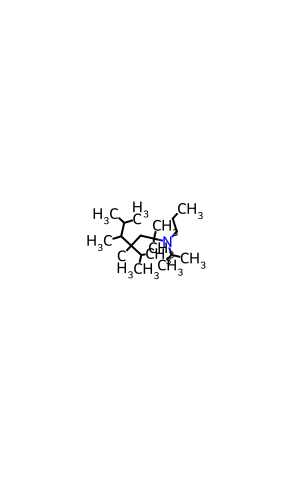 CCCN(C(C)C)C(C)(C)CC(C)(C(C)C)C(C)C(C)C